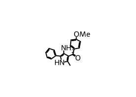 COc1ccc(C(=O)c2c(C)[nH]c(-c3ccccc3)c2N)cc1